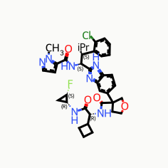 CC(C)[C@@H](c1ccccc1Cl)[C@H](NC(=O)c1ccnn1C)c1nc2cc(C3(C(=O)N[C@@H](C(=O)N[C@@H]4C[C@@H]4F)C4CCC4)CCOC3)ccc2[nH]1